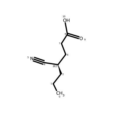 CCC[C@@H](C#N)CCC(=O)O